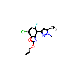 C=CCOc1nc2c(-c3cc(C(F)(F)F)n(C)n3)c(F)cc(Cl)c2o1